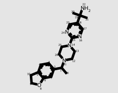 CC(c1ccc2c(c1)OCC2)N1CCN(c2ncc(C(C)(C)N)cn2)CC1